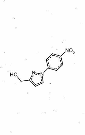 O=[N+]([O-])c1ccc(-n2ccc(CO)n2)cc1